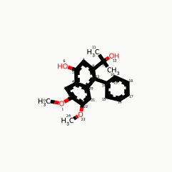 COc1cc2c(O)cc(C(C)(C)O)c(-c3ccccc3)c2cc1OC